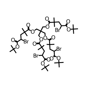 CC(C)(C)OC(=O)C(Br)CC(C)(C)C(=O)OCC(COC(=O)C(C)(C)CC(Br)C(=O)OC(C)(C)C)(COC(=O)C(C)(C)CC(Br)C(=O)OC(C)(C)C)COC(=O)C(C)(C)CC(Br)C(=O)OC(C)(C)C